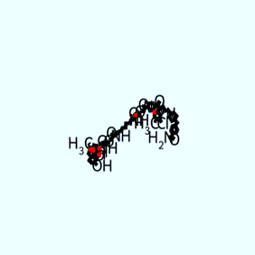 Cc1ccc(N(CCCN2CCC(Cc3ccc(C(N)=O)cc3)CC2)C(=O)C2CCN(C(=O)COCC(=O)NCCCCCCCNC(=O)COCC(=O)N[C@H]3CC[C@@]4(O)C5Cc6ccc(O)c7c6[C@@]4(CCN5C)[C@H]3O7)CC2)cc1Cl